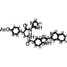 COc1ccc(C(CNC(=O)c2ccc3[nH]c(-c4cc5ccccc5cn4)nc3c2)C(=O)Nc2ncc[nH]2)cc1